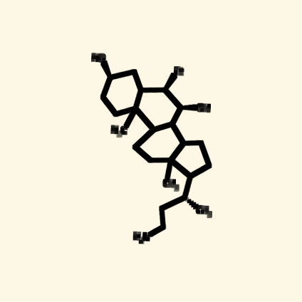 CC[C@@H]1C2C[C@H](O)CCC2(C)C2CCC3(C)C(CCC3[C@H](C)CCN)C2[C@@H]1O